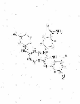 CC(=O)N1CCC[C@@H](Nc2ncc3nc(Nc4c(F)cc(Cl)cc4F)n(C4CCC(C(N)=O)CC4)c3n2)C1